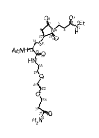 CCNC(=O)CCN1C(=O)CC(SCC(NC(C)=O)C(=O)NCCOCCOCCC(N)=O)C1=O